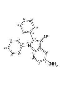 Nc1ccc2c(c1)c(=O)n(-c1ccccc1)n2-c1ccccc1